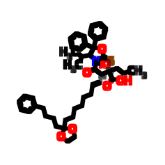 CCC[C@@](O)(C(=O)O)[C@H](C=CCCCCCCC1(CCCCc2ccccc2)OCCO1)C(=O)N1C(=S)OC(c2ccccc2)(c2ccccc2)C1C(C)C